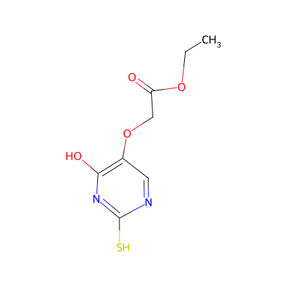 CCOC(=O)COc1cnc(S)nc1O